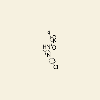 CC1CN(c2ccc(Cl)cc2)CC1NC(=O)c1cc(C2CC2)on1